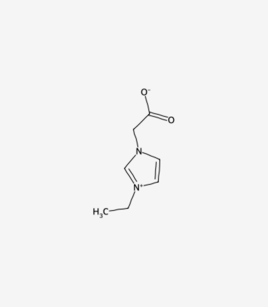 CC[n+]1ccn(CC(=O)[O-])c1